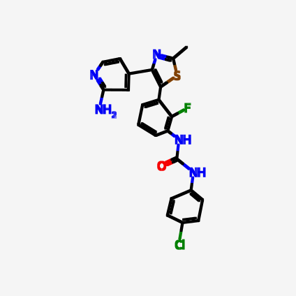 Cc1nc(-c2ccnc(N)c2)c(-c2cccc(NC(=O)Nc3ccc(Cl)cc3)c2F)s1